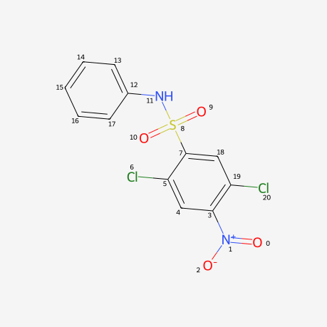 O=[N+]([O-])c1cc(Cl)c(S(=O)(=O)Nc2ccccc2)cc1Cl